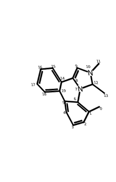 Cc1cccc2c1N1C(=CN(C)C1C)c1ccccc1-2